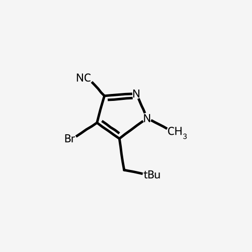 Cn1nc(C#N)c(Br)c1CC(C)(C)C